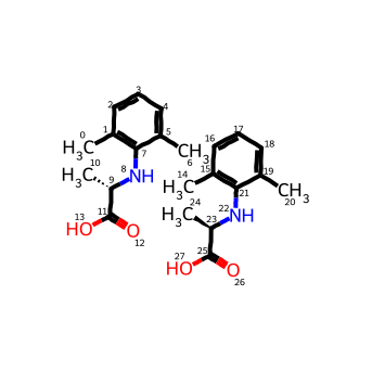 Cc1cccc(C)c1N[C@@H](C)C(=O)O.Cc1cccc(C)c1N[C@H](C)C(=O)O